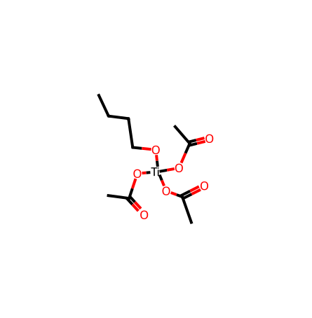 CCCC[O][Ti]([O]C(C)=O)([O]C(C)=O)[O]C(C)=O